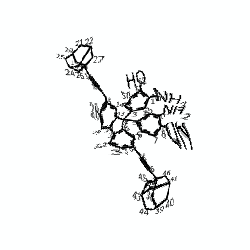 Nc1cc(C2(c3ccc(O)c(N)c3)c3cc(C#CC45CC6CC(CC(C6)C4)C5)ccc3-c3ccc(C#CC45CC6CC(CC(C6)C4)C5)cc32)ccc1O